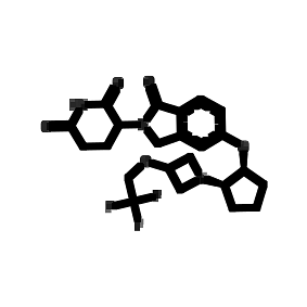 O=C1CCC(N2Cc3cc(O[C@H]4CCC[C@H]4N4CC(OCC(F)(F)F)C4)ccc3C2=O)C(=O)N1